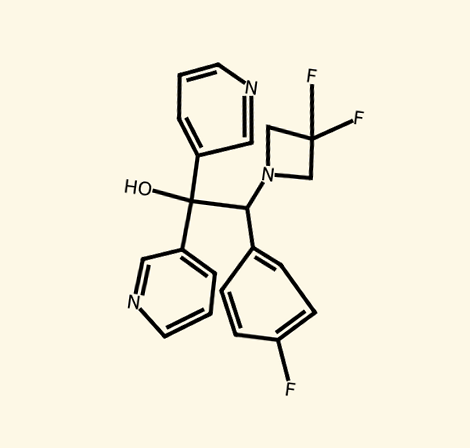 OC(c1cccnc1)(c1cccnc1)C(c1ccc(F)cc1)N1CC(F)(F)C1